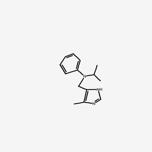 Cc1nc[nH]c1CN(c1ccccc1)C(C)C